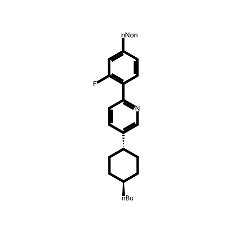 CCCCCCCCCc1ccc(-c2ccc([C@H]3CC[C@H](CCCC)CC3)cn2)c(F)c1